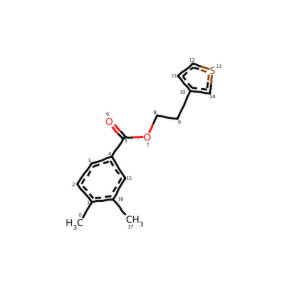 Cc1ccc(C(=O)OCCc2ccsc2)cc1C